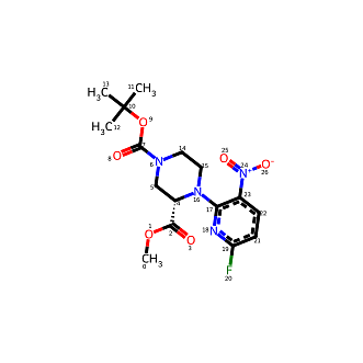 COC(=O)[C@@H]1CN(C(=O)OC(C)(C)C)CCN1c1nc(F)ccc1[N+](=O)[O-]